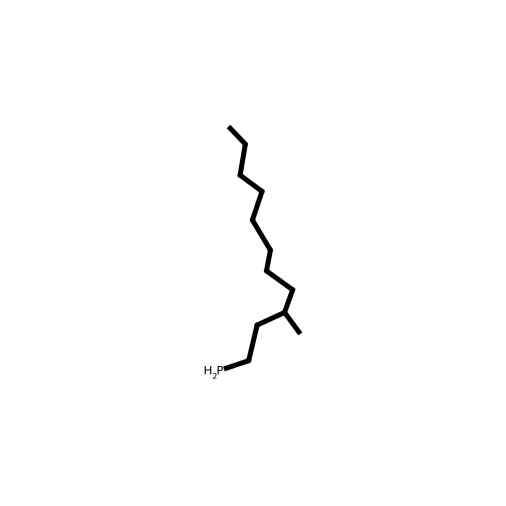 CCCCCCCCC(C)CCP